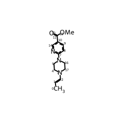 CC=CN1CCN(c2ccc(C(=O)OC)cn2)CC1